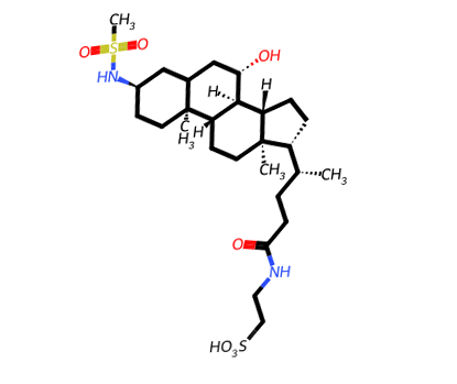 C[C@H](CCC(=O)NCCS(=O)(=O)O)[C@H]1CC[C@H]2[C@@H]3[C@@H](O)CC4C[C@H](NS(C)(=O)=O)CC[C@]4(C)[C@H]3CC[C@]12C